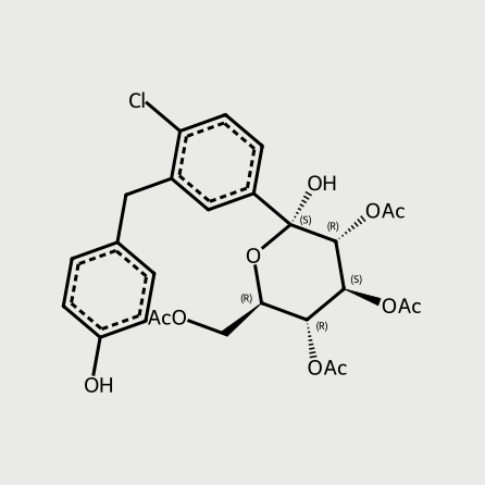 CC(=O)OC[C@H]1O[C@@](O)(c2ccc(Cl)c(Cc3ccc(O)cc3)c2)[C@H](OC(C)=O)[C@@H](OC(C)=O)[C@@H]1OC(C)=O